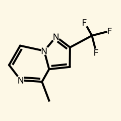 Cc1nccn2nc(C(F)(F)F)cc12